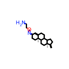 C=C1CCC2C3CCC4=CC(=NOCCN)CC[C@]4(C)C3CC[C@]12C